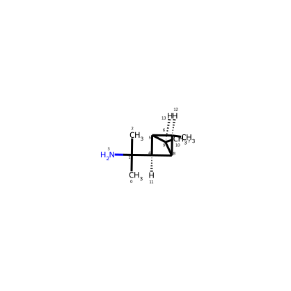 CC(C)(N)[C@H]1C2[C@@H](C)C1[C@@H]2C